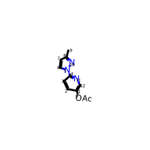 CC(=O)Oc1ccc(-n2ccc(C)n2)nc1